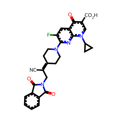 N#CC(CN1C(=O)c2ccccc2C1=O)=C1CCN(c2nc3c(cc2F)c(=O)c(C(=O)O)cn3C2CC2)CC1